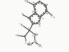 Cc1c(C(F)(N[S@@+]([O-])C(C)(C)C)C(F)F)oc2c(F)ccc(F)c12